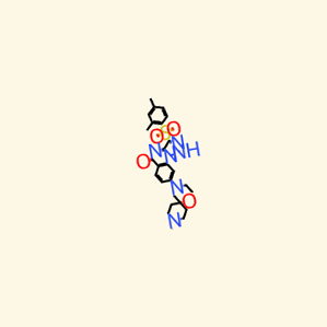 Cc1ccc(S(=O)(=O)c2n[nH]n3c2nc(=O)c2ccc(N4CCOC5(CCN(C)CC5)C4)cc23)c(C)c1